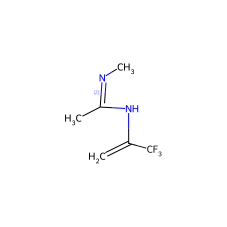 C=C(N/C(C)=N\C)C(F)(F)F